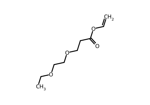 C=COC(=O)CCOCCOCC